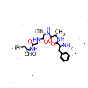 CC[C@H](C)[C@H](NC(=O)[C@H](C)NC(=O)[C@@H](N)Cc1ccccc1)C(=O)NCC(=O)N[C@H]([C]=O)CC(C)C